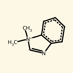 C[N+]1(C)[C]=Nc2ccccc21